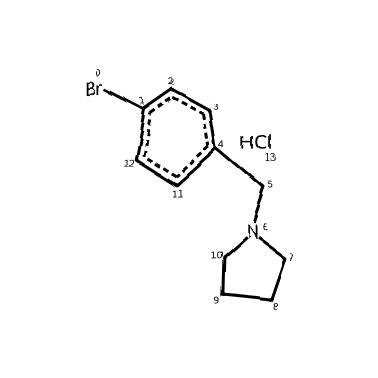 Brc1ccc(CN2CCCC2)cc1.Cl